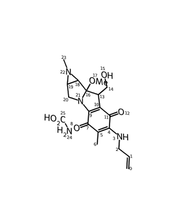 C=CCNC1=C(C)C(=O)C2=C(C1=O)C(CO)C1(OC)C3C(CN21)N3C.NC(=O)O